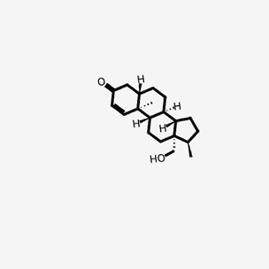 C[C@@H]1CC[C@H]2[C@@H]3CC[C@H]4CC(=O)C=C[C@]4(C)[C@H]3CC[C@]12CO